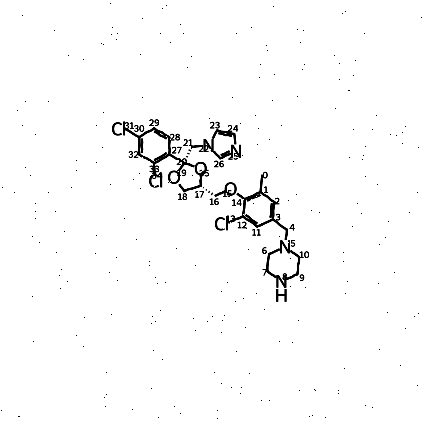 Cc1cc(CN2CCNCC2)cc(Cl)c1OC[C@@H]1CO[C@@](Cn2ccnc2)(c2ccc(Cl)cc2Cl)O1